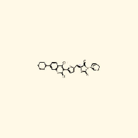 O=C1/C(=C/c2ccc(-c3c(O)c4ccc(C5CCCCC5)cc4oc3=O)s2)SC(=S)N1C1CC2CCC1C2